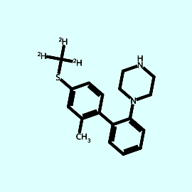 [2H]C([2H])([2H])Sc1ccc(-c2ccccc2N2CCNCC2)c(C)c1